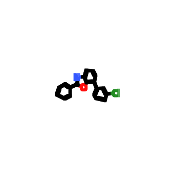 Clc1cccc(-c2cccc3nc(-c4ccccc4)oc23)c1